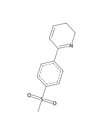 CS(=O)(=O)c1ccc(C2=NCCC=C2)cc1